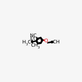 C#CCOc1ccc(C(C)(C)CC)c(C#N)c1